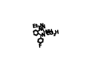 CCc1nnc2n1-c1ccccc1C(c1ccc(F)cc1)=NC2NC(=O)O